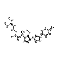 CCc1c(C(=O)NC(C)CCCN(CC)CC)cnn1-c1nc(-c2ccc(Br)cc2)cs1